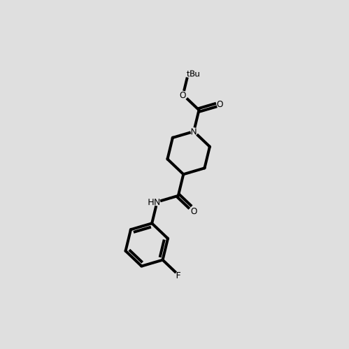 CC(C)(C)OC(=O)N1CCC(C(=O)Nc2cccc(F)c2)CC1